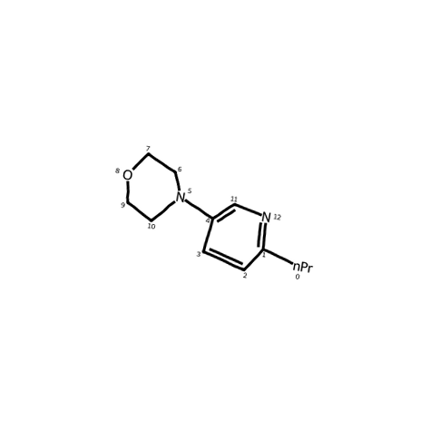 CCCc1ccc(N2CCOCC2)cn1